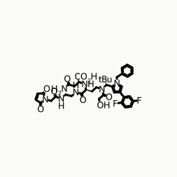 CC(C)(C)[C@H](c1cc(-c2cc(F)ccc2F)cn1Cc1ccccc1)N(CC[C@H](N[C@@H](CC(N)=O)C(=O)O)C(=O)NCCNC(=O)CN1C(=O)C=CC1=O)C(=O)CO